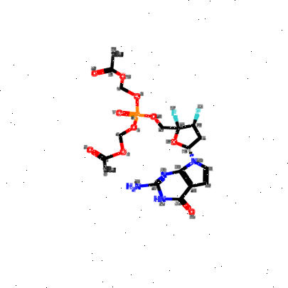 CC(C)(C)C(=O)OCOP(=O)(OCOC(=O)C(C)(C)C)OC[C@@]1(F)O[C@@H](n2ccc3c(=O)[nH]c(N)nc32)C[C@@H]1F